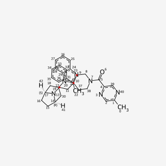 Cc1cnc(C(=O)N2CCC(CCN3[C@@H]4CC[C@H]3CC(n3c(C)nc5ccccc53)C4)(c3ccccc3)CC2)cn1